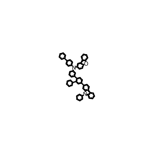 c1ccc(-c2ccc(N(c3cccc(-c4ccc(-c5ccc6c7ccccc7n(-c7ccccc7)c6c5)cc4-c4ccccc4)c3)c3ccc4oc5ccccc5c4c3)cc2)cc1